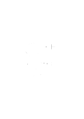 Cc1cccc2c1C(=O)C1(CC1)S2